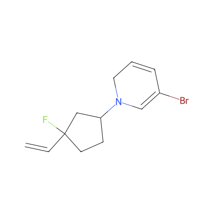 C=CC1(F)CCC(N2C=C(Br)C=CC2)C1